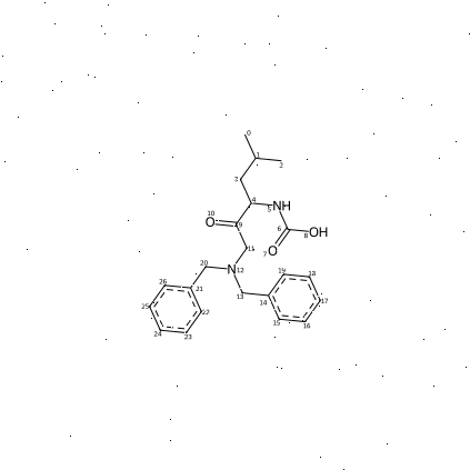 CC(C)CC(NC(=O)O)C(=O)CN(Cc1ccccc1)Cc1ccccc1